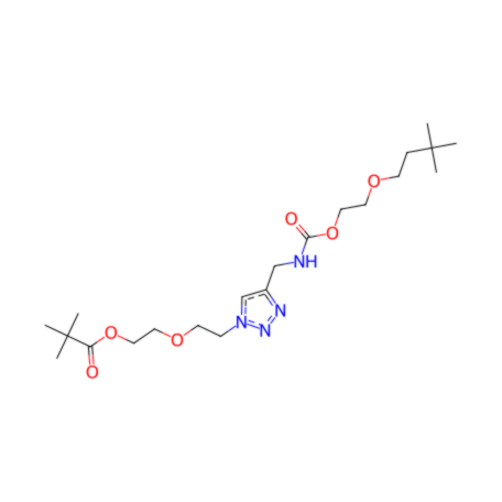 CC(C)(C)CCOCCOC(=O)NCc1cn(CCOCCOC(=O)C(C)(C)C)nn1